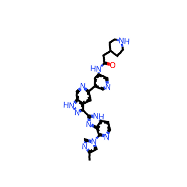 Cc1cn(-c2nccc3[nH]c(-c4n[nH]c5cnc(-c6cncc(NC(=O)CC7CCNCC7)c6)cc45)nc23)cn1